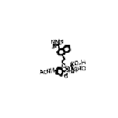 CNN(C)C(=O)c1ccc(CCOc2cc(NC(C)=O)ccc2S(=O)(=O)NC(C=O)CC(=O)O)c2ccccc12